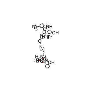 Cc1ncsc1-c1ccc([C@H](C)NC(=O)[C@@H]2C[C@@H](O)CN2C(=O)[C@H](C(C)C)n2cc(OCCN3CCN(CCOc4cc(N5C6CCC5CN(c5cc(-c7ccccc7O)nnc5N)C6)ccn4)CC3)cn2)cc1